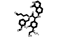 Cc1cc(C(Nc2ccc3cc[nH]c(=O)c3c2)C(=O)N(CCCC=O)Cc2cccc(N=O)c2)ccc1[C@@H](C)CO